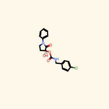 O=C(NCc1ccc(Cl)cc1)O[C@@]1(O)CCN(c2ccccc2)C1=O